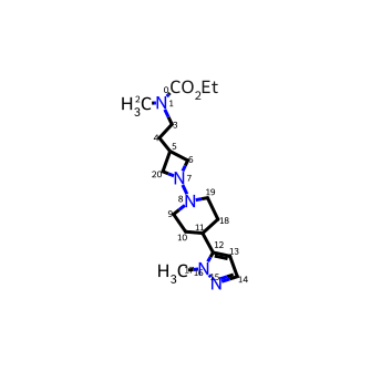 CCOC(=O)N(C)CCC1CN(N2CCC(c3ccnn3C)CC2)C1